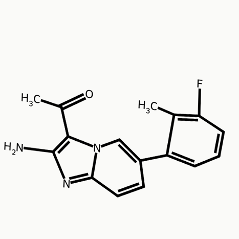 CC(=O)c1c(N)nc2ccc(-c3cccc(F)c3C)cn12